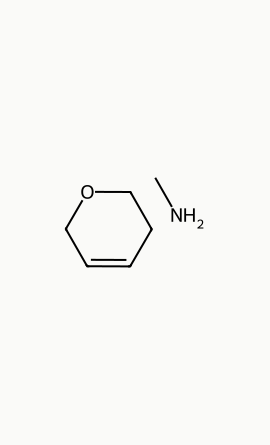 C1=CCOCC1.CN